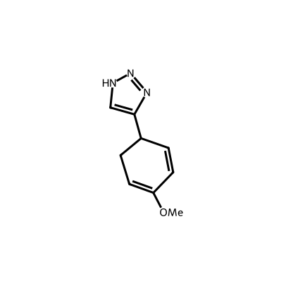 COC1=CCC(c2c[nH]nn2)C=C1